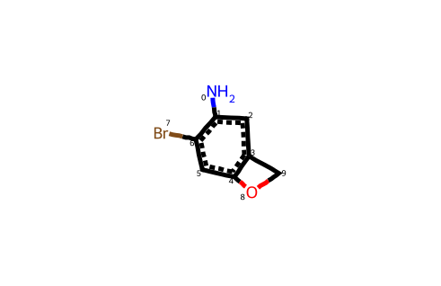 Nc1cc2c(cc1Br)OC2